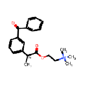 C[C@H](C(=O)OCC[N+](C)(C)C)c1cccc(C(=O)c2ccccc2)c1